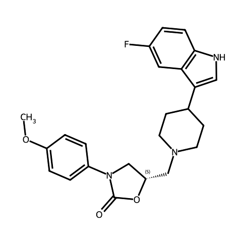 COc1ccc(N2C[C@H](CN3CCC(c4c[nH]c5ccc(F)cc45)CC3)OC2=O)cc1